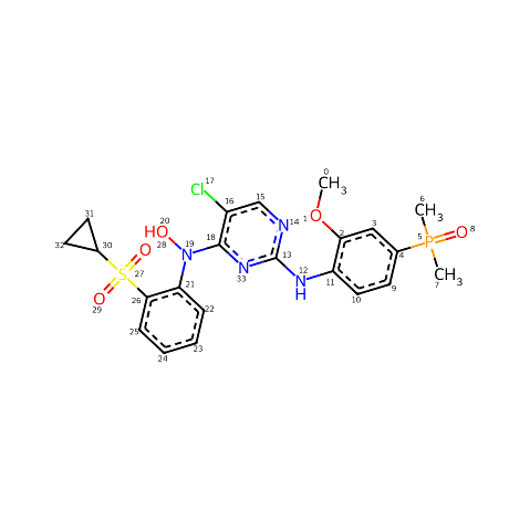 COc1cc(P(C)(C)=O)ccc1Nc1ncc(Cl)c(N(O)c2ccccc2S(=O)(=O)C2CC2)n1